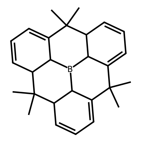 CC1(C)C2=CC=CC3C2B2C4C1=CC=CC4C(C)(C)C1C=CC=C(C21)C3(C)C